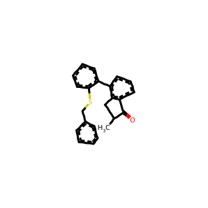 CC1Cc2c(cccc2-c2ccccc2SCc2ccccc2)C1=O